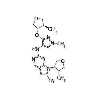 C[C@@H]1COC[C@H]1Oc1nn(C)cc1Nc1ncc2cc(C#N)n([C@H]3COC[C@@H]3C)c2n1